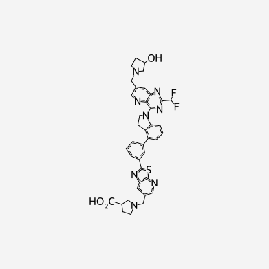 Cc1c(-c2nc3cc(CN4CCC(C(=O)O)C4)cnc3s2)cccc1-c1cccc2c1CCN2c1nc(C(F)F)nc2cc(CN3CCC(O)C3)cnc12